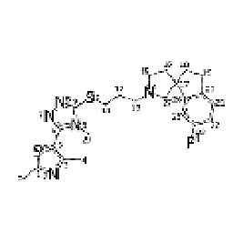 Cc1nc(C)c(-c2nnc(SCCCN3CCC4(CCc5ccc(F)cc54)C3)n2C)s1